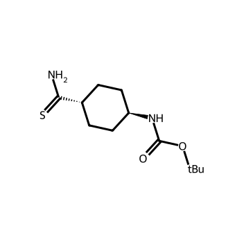 CC(C)(C)OC(=O)N[C@H]1CC[C@H](C(N)=S)CC1